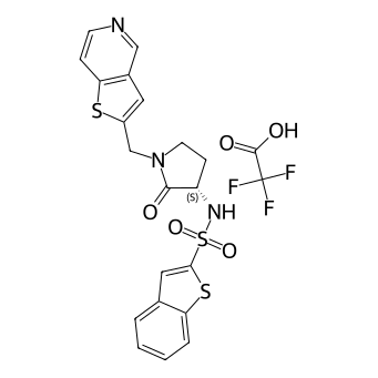 O=C(O)C(F)(F)F.O=C1[C@@H](NS(=O)(=O)c2cc3ccccc3s2)CCN1Cc1cc2cnccc2s1